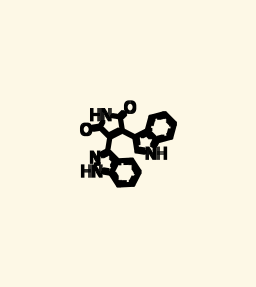 O=C1NC(=O)C(c2n[nH]c3ccccc23)=C1c1c[nH]c2ccccc12